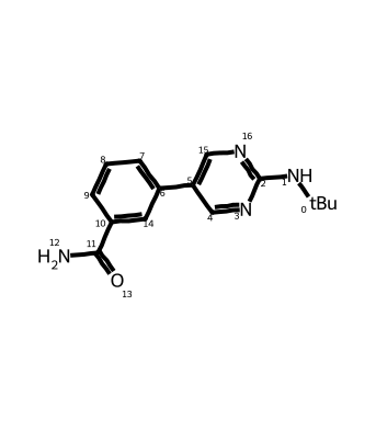 CC(C)(C)Nc1ncc(-c2cccc(C(N)=O)c2)cn1